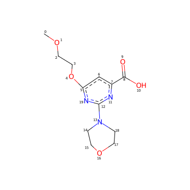 COCCOc1cc(C(=O)O)nc(N2CCOCC2)n1